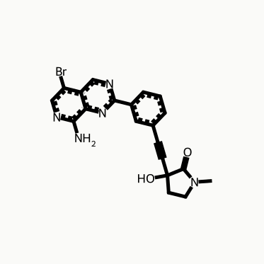 CN1CCC(O)(C#Cc2cccc(-c3ncc4c(Br)cnc(N)c4n3)c2)C1=O